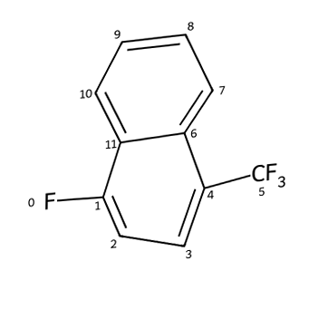 Fc1ccc(C(F)(F)F)c2ccccc12